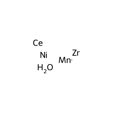 O.[Ce].[Mn].[Ni].[Zr]